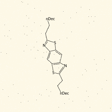 CCCCCCCCCCCCc1nc2cc3sc(CCCCCCCCCCCC)nc3cc2s1